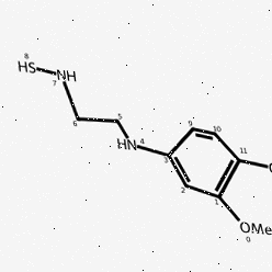 COc1cc(NCCNS)ccc1Cl